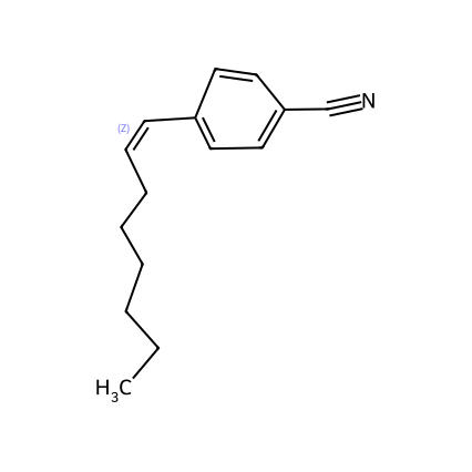 CCCCCC/C=C\c1ccc(C#N)cc1